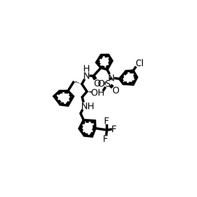 CS(=O)(=O)N(c1cccc(Cl)c1)c1ccccc1C(=O)N[C@@H](Cc1ccccc1)[C@H](O)CNCc1cccc(C(F)(F)F)c1